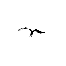 [CH2]CCOC(=O)/C=C/C